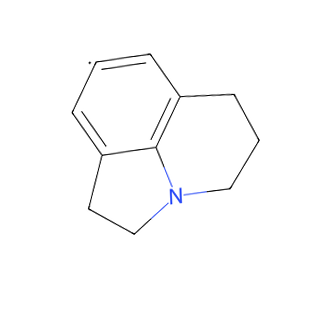 [c]1cc2c3c(c1)CCN3CCC2